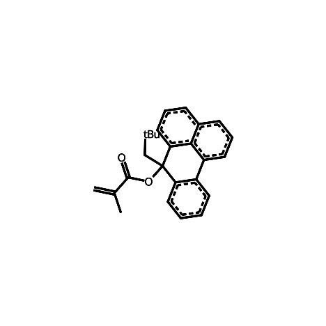 C=C(C)C(=O)OC1(CC(C)(C)C)c2ccccc2-c2cccc3cccc1c23